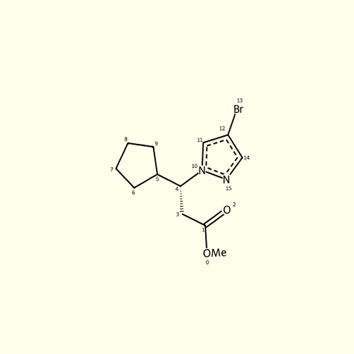 COC(=O)C[C@H](C1CCCC1)n1cc(Br)cn1